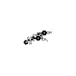 COc1ccc(-c2sc(NC(=O)N3CCCC3)nc2C)cc1S(=O)(=O)Nc1ccc(O)cc1